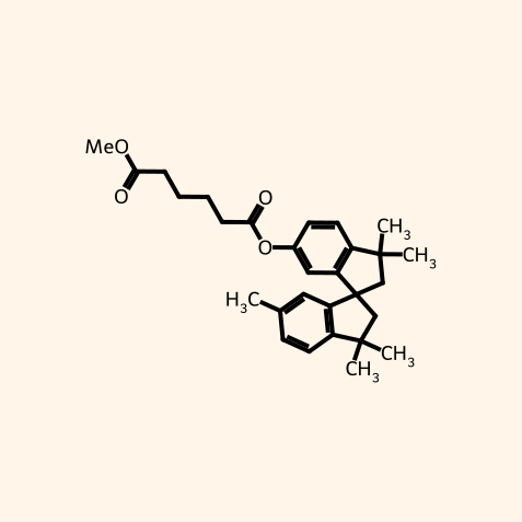 COC(=O)CCCCC(=O)Oc1ccc2c(c1)C1(CC(C)(C)c3ccc(C)cc31)CC2(C)C